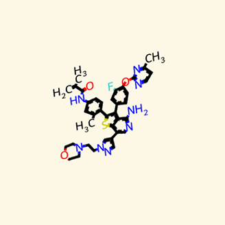 C=C(C)C(=O)Nc1ccc(-c2sc3c(-c4cnn(CCN5CCOCC5)c4)cnc(N)c3c2-c2ccc(Oc3nccc(C)n3)c(F)c2)c(C)c1